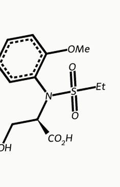 CCS(=O)(=O)N(c1ccccc1OC)[C@H](CO)C(=O)O